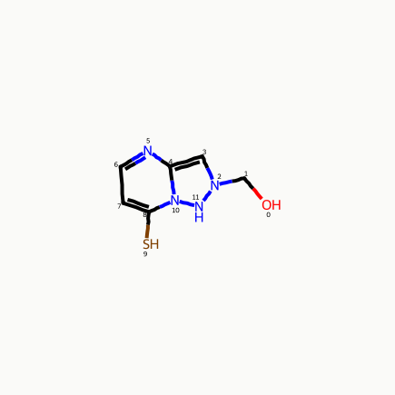 OCN1C=C2N=CC=C(S)N2N1